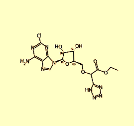 CCOC(=O)C(OC[C@H]1O[C@@H](n2cnc3c(N)nc(Cl)nc32)[C@H](O)[C@@H]1O)c1nnn[nH]1